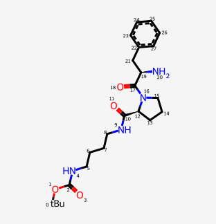 CC(C)(C)OC(=O)NCCCCNC(=O)[C@@H]1CCCN1C(=O)[C@H](N)Cc1ccccc1